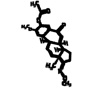 CON=C1CC[C@H]2[C@@H]3CC(=O)c4cc(OC(C)=O)c(OC)cc4[C@H]3CC[C@]12C